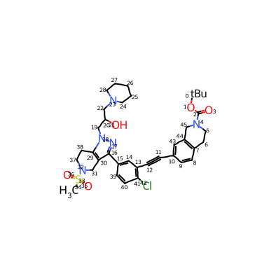 CC(C)(C)OC(=O)N1CCc2ccc(C#Cc3cc(-c4nn(CC(O)CN5CCCCC5)c5c4CN(S(C)(=O)=O)CC5)ccc3Cl)cc2C1